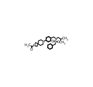 CC(=O)N1CC2(CCN(c3ccc(CN(CC(C)C)S(=O)(=O)Cc4ccccc4)cc3)CC2)C1